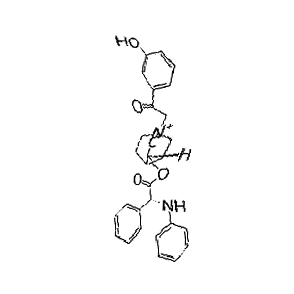 O=C(C[N+]12CCC(CC1)[C@@H](OC(=O)[C@H](Nc1ccccc1)c1ccccc1)C2)c1cccc(O)c1